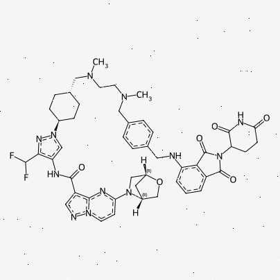 CN(CCN(C)C[C@H]1CC[C@H](n2cc(NC(=O)c3cnn4ccc(N5C[C@H]6C[C@@H]5CO6)nc34)c(C(F)F)n2)CC1)Cc1ccc(CNc2cccc3c2C(=O)N(C2CCC(=O)NC2=O)C3=O)cc1